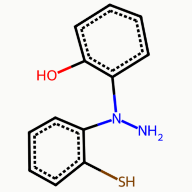 NN(c1ccccc1O)c1ccccc1S